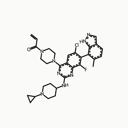 C=CC(=O)N1CCN(c2nc(NC3CCN(C4CC4)CC3)nc3c(F)c(-c4c(C)ccc5cn[nH]c45)c(Cl)cc23)CC1